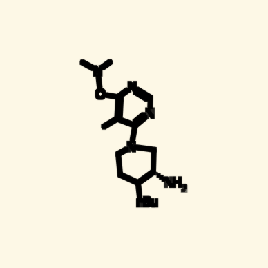 CCCCC1CCN(c2ncnc(ON(C)C)c2C)C[C@@H]1N